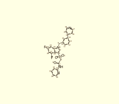 O=C(CS(=O)(=O)c1cn(Cc2cccc(-c3ccncc3)c2)c2cc(F)cc(F)c12)Nc1ccccn1